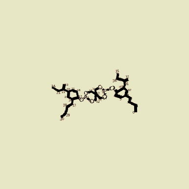 CCCCc1ccc(OP2OCC3(COP(Oc4ccc(C(C)CC)cc4CCCC)OC3)CO2)c(C(C)CC)c1